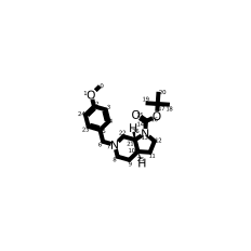 COc1ccc(CN2CC[C@@H]3CCN(C(=O)OC(C)(C)C)[C@H]3C2)cc1